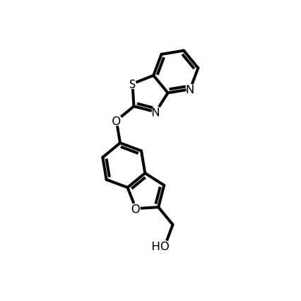 OCc1cc2cc(Oc3nc4ncccc4s3)ccc2o1